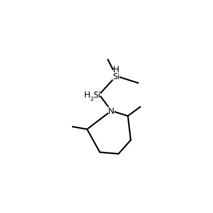 CC1CCCC(C)N1[SiH2][SiH](C)C